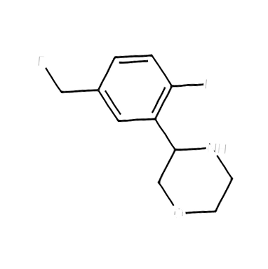 FCc1ccc(F)c(C2COCCN2)c1